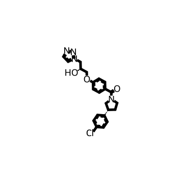 O=C(c1ccc(OC[C@H](O)Cn2ccnn2)cc1)N1CC[C@H](c2ccc(Cl)cc2)C1